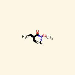 C=C/C(=C\C)C(=O)NOC